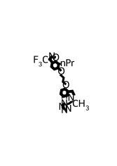 CCCc1c(OCCCOc2cccc3c2ccn3C(C)c2nnn[nH]2)ccc2c(C(F)(F)F)noc12